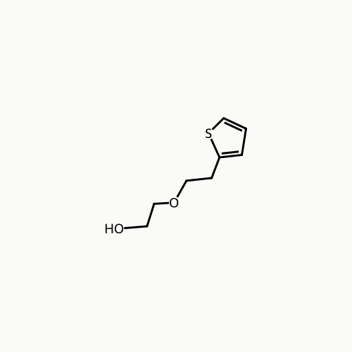 OCCOCCc1cccs1